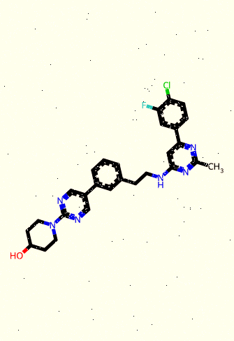 Cc1nc(NCCc2cccc(-c3cnc(N4CCC(O)CC4)nc3)c2)cc(-c2ccc(Cl)c(F)c2)n1